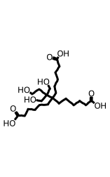 O=C(O)CCCCCC(CCCCCC(=O)O)(CCCCCC(=O)O)C(CO)(CO)CCO